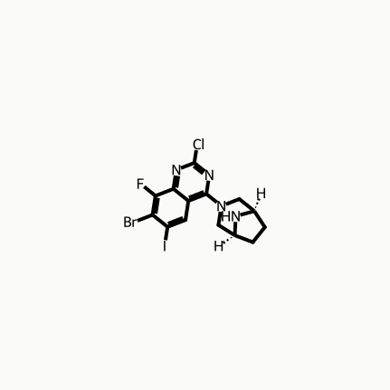 Fc1c(Br)c(I)cc2c(N3C[C@H]4CC[C@@H](C3)N4)nc(Cl)nc12